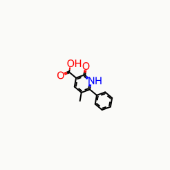 Cc1cc(C(=O)O)c(=O)[nH]c1-c1ccccc1